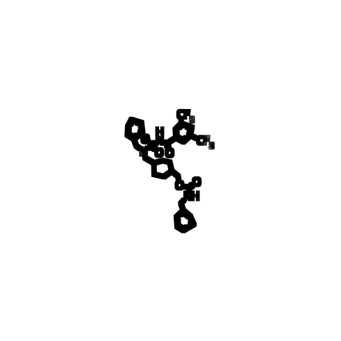 O=C(NCc1ccccc1)OCC1CCC(CN(Cc2ccccc2)S(=O)(=O)NC(=O)c2cc(C(F)(F)F)cc(C(F)(F)F)c2)CC1